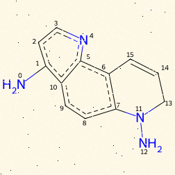 Nc1ccnc2c3c(ccc12)N(N)CC=C3